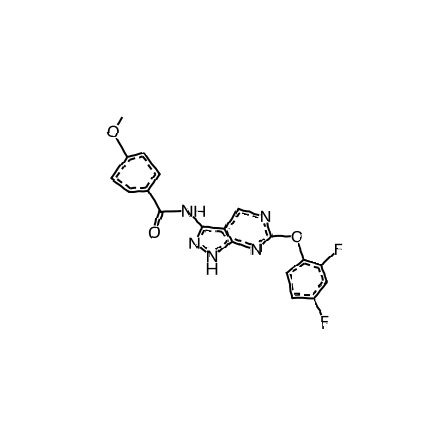 COc1ccc(C(=O)Nc2n[nH]c3nc(Oc4ccc(F)cc4F)ncc23)cc1